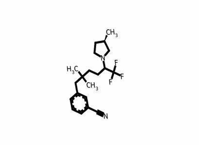 C[C@@H]1CCN(C(CCC(C)(C)Cc2cccc(C#N)c2)C(F)(F)F)C1